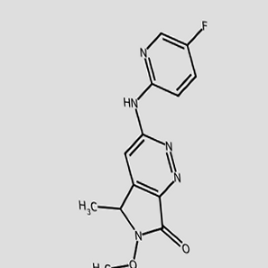 CON1C(=O)c2nnc(Nc3ccc(F)cn3)cc2C1C